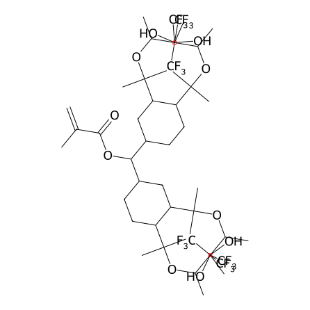 C=C(C)C(=O)OC(C1CCC(C(C)(C)OC(C)C(O)(C(F)(F)F)C(F)(F)F)C(C(C)(C)OC(C)C(C)(O)C(F)(F)F)C1)C1CCC(C(C)(C)OC(C)C(O)(C(F)(F)F)C(F)(F)F)C(C(C)(C)OC(C)C(C)(O)C(F)(F)F)C1